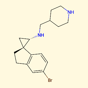 Brc1ccc2c(c1)CC[C@]21C[C@@H]1NCC1CCNCC1